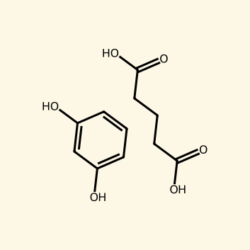 O=C(O)CCCC(=O)O.Oc1cccc(O)c1